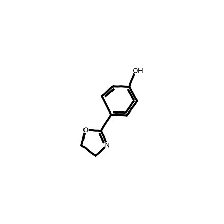 OC1=C=C=C(C2=NCCO2)C=C1